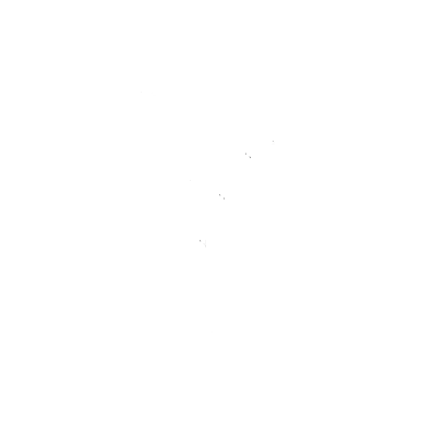 CCCCc1ccc(N(C(C)=O)C2CSC(=NC3CCCCCC3)N2C)cc1.Cl